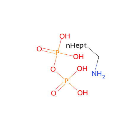 CCCCCCCCN.O=P(O)(O)OP(=O)(O)O